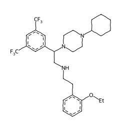 CCOc1ccccc1CCNCC(c1cc(C(F)(F)F)cc(C(F)(F)F)c1)N1CCN(C2CCCCC2)CC1